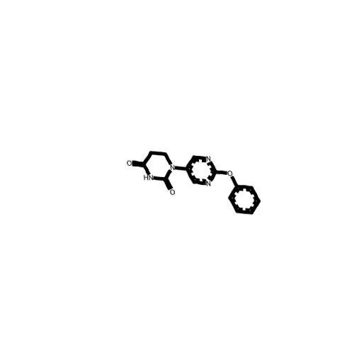 O=C1CCN(c2cnc(Oc3ccccc3)nc2)C(=O)N1